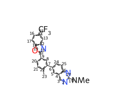 CNc1ncc2cc(-c3cc(-c4nc5cc(C(F)(F)F)ccc5o4)ccc3C)ccc2n1